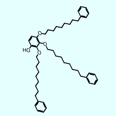 Oc1ccc(OCCCCCCCCCc2ccccc2)c(OCCCCCCCCCc2ccccc2)c1OCCCCCCCCCc1ccccc1